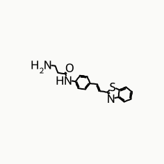 NCCC(=O)Nc1ccc(C=Cc2nc3ccccc3s2)cc1